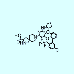 Nc1nc(O[C@H](c2ccc(Cl)cc2-c2cccc(OC3CCCC3)c2)C(F)(F)F)cc(N2CCC3(CC2)CNC(C(=O)O)C3)n1